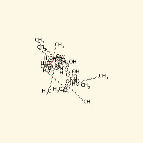 CCCCCCCCCCCCCC(C)C(=O)OC(CC(=O)NC1COC(COC2OC(CO)C(O[P+]([O-])(O)O)C(OC(=O)CC(OC(=O)C(C)CCCCCCCCCCC)C(C)CCCCCCCCC)C2NC(=O)CC(OC(=O)C(C)CCCCCCCCC)C(C)CCCCCCCCC)C(O)C1OC(=O)CC(O)C(C)CCCCCCCCC)C(C)CCCCCCCCC